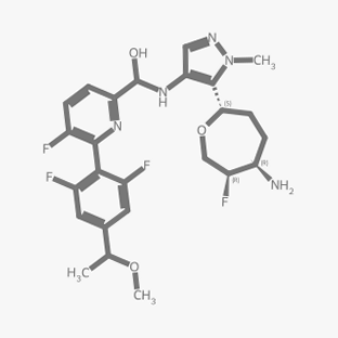 COC(C)c1cc(F)c(-c2nc(C(O)Nc3cnn(C)c3[C@@H]3CC[C@@H](N)[C@@H](F)CO3)ccc2F)c(F)c1